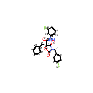 C[C@H](c1ccc(F)cc1)N1C(=O)O[C@](Cc2ccccc2)(C(=O)Nc2cccc(F)c2)C1=O